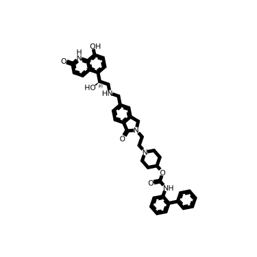 O=C(Nc1ccccc1-c1ccccc1)OC1CCN(CCN2Cc3cc(CNC[C@H](O)c4ccc(O)c5[nH]c(=O)ccc45)ccc3C2=O)CC1